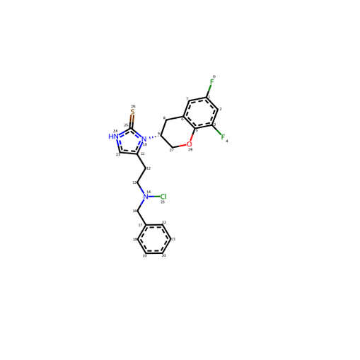 Fc1cc(F)c2c(c1)C[C@@H](n1c(CCN(Cl)Cc3ccccc3)c[nH]c1=S)CO2